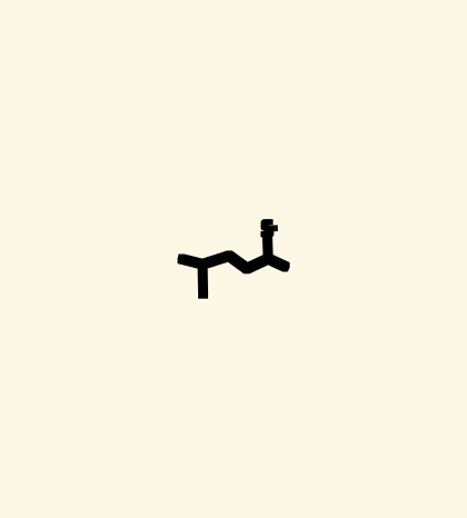 CC(C)CCC(C)[S]